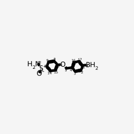 Bc1ccc(COc2ccc([S+](N)[O-])cc2)cc1